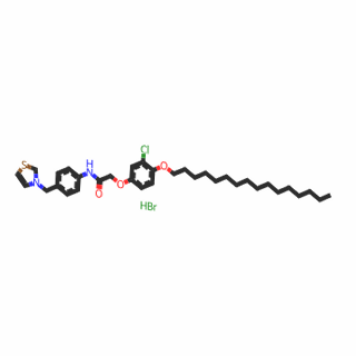 Br.CCCCCCCCCCCCCCCCOc1ccc(OCC(=O)Nc2ccc(CN3C=CSC3)cc2)cc1Cl